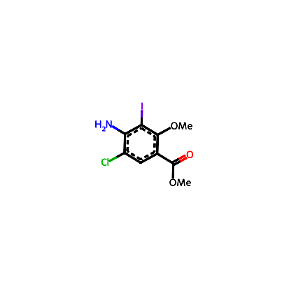 COC(=O)c1cc(Cl)c(N)c(I)c1OC